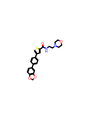 O=C(NCCN1CCOCC1)c1cc(-c2ccc(-c3ccc4c(c3)OCO4)cc2)cs1